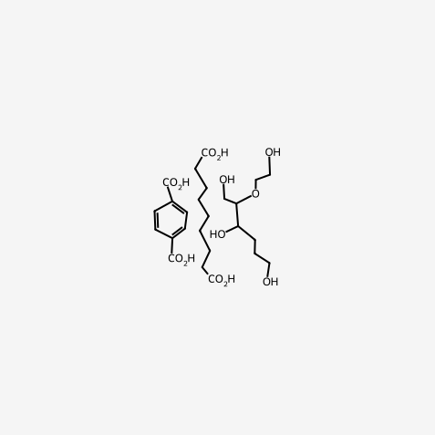 O=C(O)CCCCCCCC(=O)O.O=C(O)c1ccc(C(=O)O)cc1.OCCCC(O)C(CO)OCCO